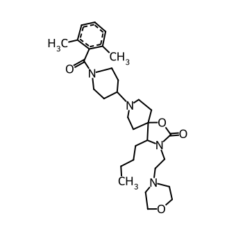 CCCCC1N(CCN2CCOCC2)C(=O)OC12CCN(C1CCN(C(=O)c3c(C)cccc3C)CC1)CC2